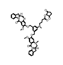 COc1cc2c(cc1OCc1cc(COc3cc4c(cc3OC)C(=O)N3c5ccccc5C[C@H]3CN4C)cc(N(C)CCCC(=O)OC3C(=O)CCC3=O)c1)N=C[C@@H]1Cc3ccccc3N1C2=O